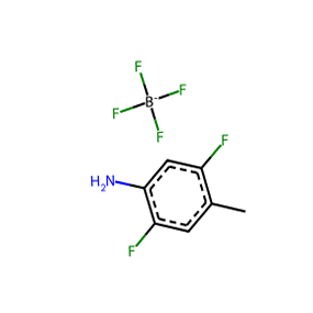 Cc1cc(F)c(N)cc1F.F[B-](F)(F)F